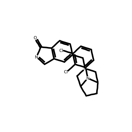 O=C1N=Cc2cc(CN3CC4CCC(C3)N4c3cccc(Cl)c3Cl)ccc21